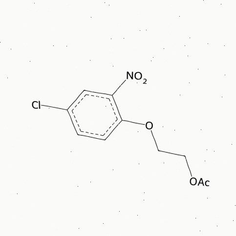 CC(=O)OCCOc1ccc(Cl)cc1[N+](=O)[O-]